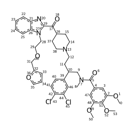 COc1cc(C(=O)N(C)CC(CCN2CCC(C(=O)c3nc4ccccc4n3CCOCc3ccco3)CC2)c2ccc(Cl)c(Cl)c2)cc(OC)c1OC